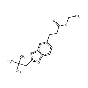 CCOC(=O)CCc1ccc2oc(CC(C)(C)C)nc2c1